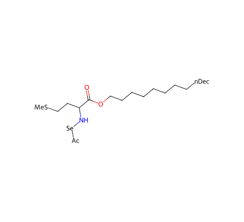 CCCCCCCCCCCCCCCCCCOC(=O)C(CCSC)N[Se]C(C)=O